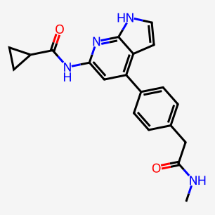 CNC(=O)Cc1ccc(-c2cc(NC(=O)C3CC3)nc3[nH]ccc23)cc1